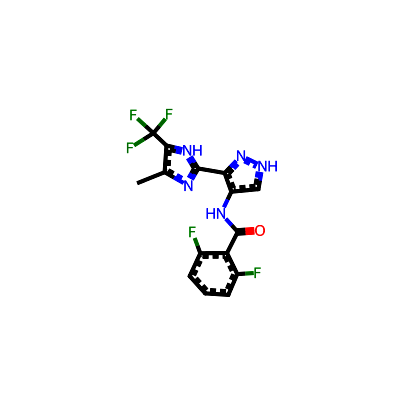 Cc1nc(-c2n[nH]cc2NC(=O)c2c(F)cccc2F)[nH]c1C(F)(F)F